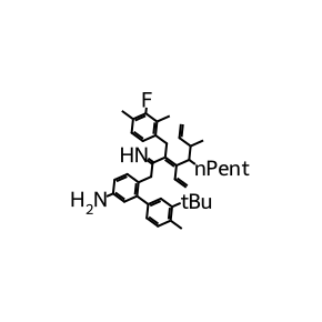 C=C/C(=C(/Cc1ccc(C)c(F)c1C)C(=N)Cc1ccc(N)cc1-c1ccc(C)c(C(C)(C)C)c1)C(CCCCC)C(C)C=C